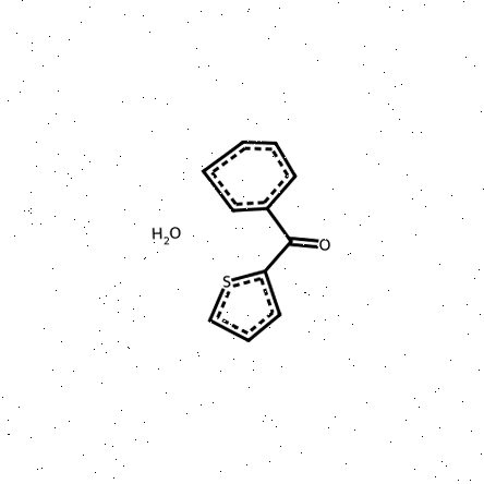 O.O=C(c1ccccc1)c1cccs1